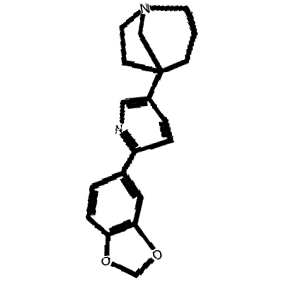 c1cc2c(cc1-c1ccc(C34CCCN(CC3)C4)cn1)OCO2